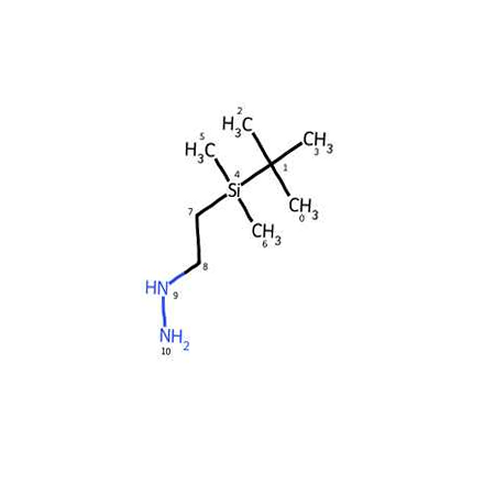 CC(C)(C)[Si](C)(C)CCNN